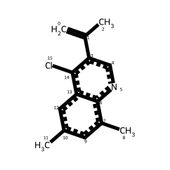 C=C(C)c1cnc2c(C)cc(C)cc2c1Cl